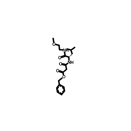 COCCNC(=O)[C@H](CC(C)C)NC(=O)CC(=O)OCc1ccccc1